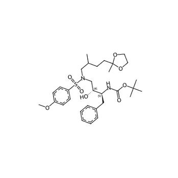 COc1ccc(S(=O)(=O)N(CC(C)CCC2(C)OCCO2)C[C@@H](O)[C@H](Cc2ccccc2)NC(=O)OC(C)(C)C)cc1